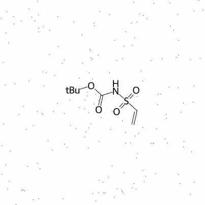 C=CS(=O)(=O)NC(=O)OC(C)(C)C